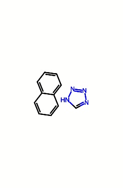 c1ccc2ccccc2c1.c1nnn[nH]1